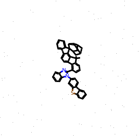 CC1(C)c2cccc(-c3nc4ccccc4n3-c3ccc4c(c3)sc3ccccc34)c2-c2ccc3c(c21)C1(c2ccccc2-3)C2CC3CC(C2)CC1C3